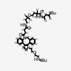 CCC(C)NCCOCCn1nnc2c1-c1ccccc1CN(C(=O)CCC(=O)NCCC(C)(C)OCCC(C)(C)C(=O)NC(C)CC(C)C(C)CC)c1ccccc1-2